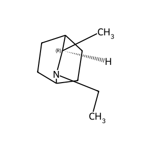 CCN1C2CCC(CC2)[C@H]1C